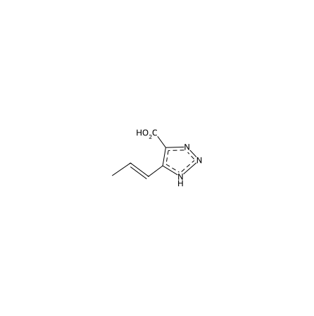 C/C=C/c1[nH]nnc1C(=O)O